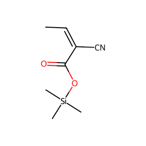 CC=C(C#N)C(=O)O[Si](C)(C)C